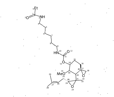 CCC(=O)NCCCCCCNC(=O)OC1CC[C@]2(CO2)C(C2(C)O[C@@H]2CC=C(C)C)C1OC